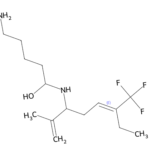 C=C(C)C(C/C=C(\CC)C(F)(F)F)NC(O)CCCCN